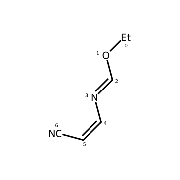 CCO/C=N/C=C\C#N